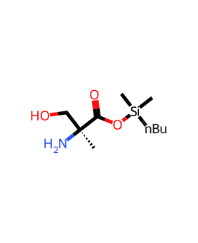 CCCC[Si](C)(C)OC(=O)[C@@](C)(N)CO